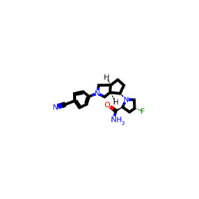 N#Cc1ccc(N2C[C@H]3CC[C@H](N4C[C@H](F)C[C@H]4C(N)=O)[C@H]3C2)cc1